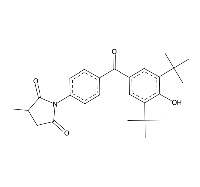 CC1CC(=O)N(c2ccc(C(=O)c3cc(C(C)(C)C)c(O)c(C(C)(C)C)c3)cc2)C1=O